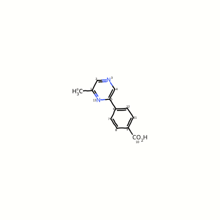 Cc1cncc(-c2ccc(C(=O)O)cc2)n1